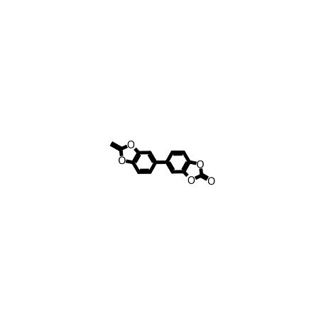 C=C1Oc2ccc(-c3ccc4oc(=O)oc4c3)cc2O1